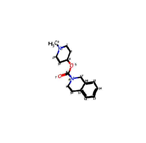 CN1CCC(OC(=O)N2CCc3ccccc3C2)CC1